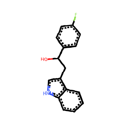 OC(Cc1c[nH]c2ccccc12)c1ccc(F)cc1